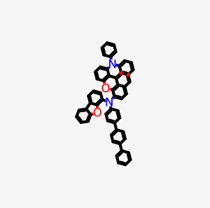 c1ccc(-c2ccc(-c3ccc(N(c4ccc5cccc6c5c4Oc4cccc(N(c5ccccc5)c5ccccc5)c4-6)c4cccc5c4oc4ccccc45)cc3)cc2)cc1